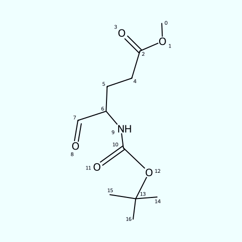 COC(=O)CCC(C=O)NC(=O)OC(C)(C)C